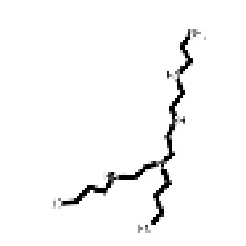 NCCNCCNCCN(CCCO)CCNCCCO